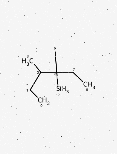 CCC(C)C([SiH3])(I)CC